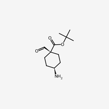 CC(C)(C)OC(=O)[C@]1(C=O)CC[C@@H](N)CC1